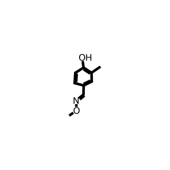 CO/N=C/c1ccc(O)c(C)c1